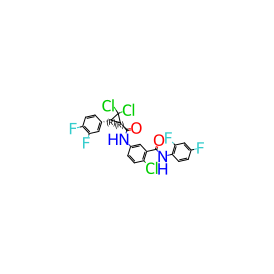 O=C(Nc1ccc(F)cc1F)c1cc(NC(=O)[C@H]2[C@H](c3ccc(F)c(F)c3)C2(Cl)Cl)ccc1Cl